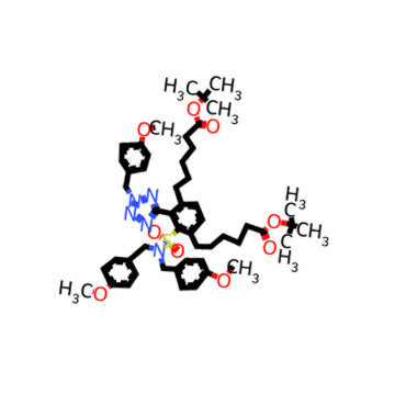 COc1ccc(CN(Cc2ccc(OC)cc2)S(=O)(=O)c2c(CCCCCC(=O)OC(C)(C)C)ccc(CCCCCC(=O)OC(C)(C)C)c2-c2nnn(Cc3ccc(OC)cc3)n2)cc1